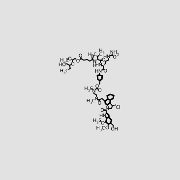 CCC(CO)OC(COC(=O)CCCC(=O)N[C@@H](C(=O)N[C@H](CCCNC(N)=O)C(=O)Nc1ccc(COC(=O)N(C)CCN(C)C(=O)Cc2cc3c(c4ccccc24)[C@@H](CCl)CN3C(=O)c2cc3cc(CO)c(OC)c(OC)c3[nH]2)cc1)C(C)C)OC